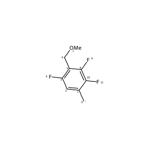 [CH2]c1cc(F)c(COC)c(F)c1F